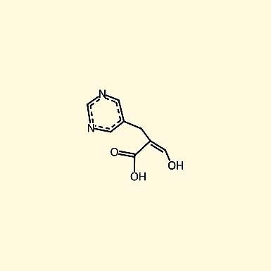 O=C(O)/C(=C\O)Cc1cncnc1